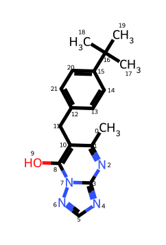 Cc1nc2ncnn2c(O)c1Cc1ccc(C(C)(C)C)cc1